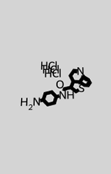 Cl.Cl.Cl.NC1CCC(NC(=O)C2CSC34CC=CC=C3N=CCC24)CC1